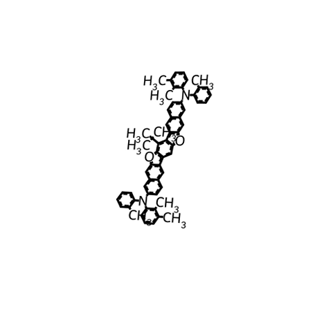 Cc1ccccc1N(c1ccc2cc3c(cc2c1)oc1c(C(C)(C)C)c2c(cc13)oc1cc3cc(N(c4ccccc4C)c4cccc(C)c4C)ccc3cc12)c1cccc(C)c1C